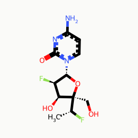 C[C@@H](F)[C@]1(CO)O[C@@H](n2ccc(N)nc2=O)[C@H](F)[C@@H]1O